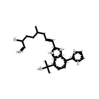 CCC(C=N)CCC(C)C/C=C/c1nc2c(C(C)(C)O)ccc(-c3nccs3)c2o1